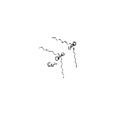 CCCCCCCCP(=O)([O-])CCCCCCCC.CCCCCCCCP(=O)([O-])CCCCCCCC.[Cu+2]